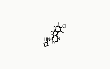 Cc1nc2oc3c(NC4CCC4)ncnc3c2c(C)c1Cl